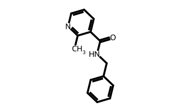 Cc1ncccc1C(=O)NCc1ccccc1